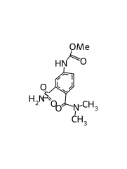 COC(=O)Nc1ccc(C(=O)N(C)C)c(S(N)(=O)=O)c1